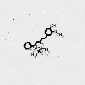 COc1cc(CCC(CCc2ccccc2)O[Si](C)(C)C(C)(C)C)ccc1O